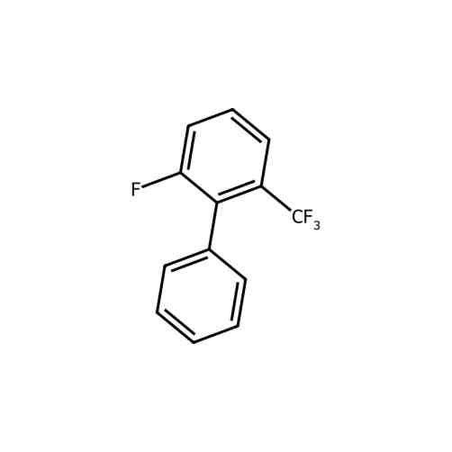 Fc1cccc(C(F)(F)F)c1-c1ccccc1